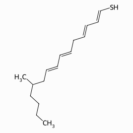 CCCCC(C)CC=CC=CCC=CC=CS